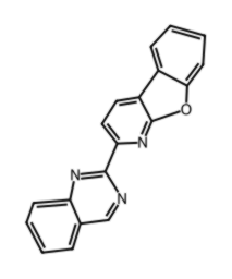 c1ccc2nc(-c3ccc4c(n3)oc3ccccc34)ncc2c1